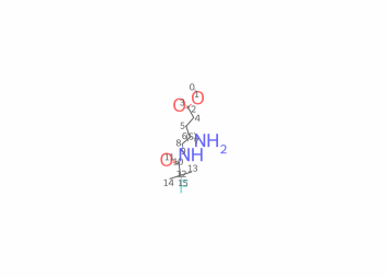 COC(=O)CC[C@H](N)CNC(=O)C(C)(C)F